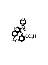 Cc1ccc(C(=O)O)c(Nc2c([S+]([O-])N3CCOCC3)cnc3ccc(Cl)cc23)c1